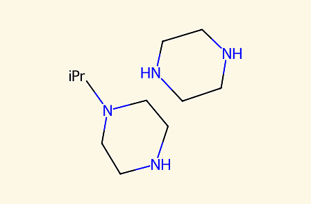 C1CNCCN1.CC(C)N1CCNCC1